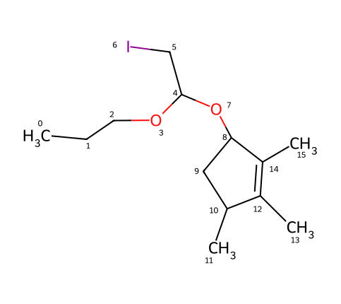 CCCOC(CI)OC1CC(C)C(C)=C1C